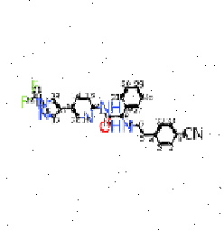 N#Cc1ccc(CCNC(C(=O)Nc2ccc(-c3cnn(C(F)F)c3)cn2)c2ccccc2)cc1